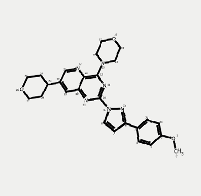 COc1ccc(-c2ccn(-c3nc(N4CCOCC4)c4ncc(C5CCOCC5)cc4n3)n2)cc1